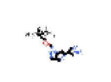 C[Si](C)(C)CCOCn1ncc2cnc(-c3cn[nH]c3)cc21